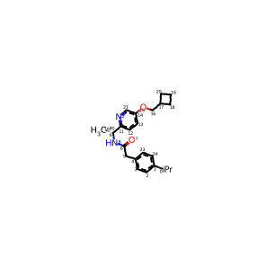 CC(C)c1ccc(CC(=O)N[C@H](C)c2ccc(OCC3CCC3)cn2)cc1